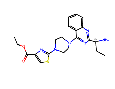 CCOC(=O)c1csc(N2CCN(c3nc([C@@H](N)CC)nc4ccccc34)CC2)n1